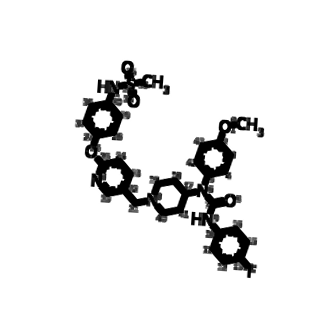 COc1ccc(N(C(=O)Nc2ccc(F)cc2)C2CCN(Cc3ccc(Oc4ccc(NS(C)(=O)=O)cc4)nc3)CC2)cc1